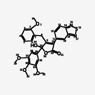 COc1ccccc1CC1=C(c2ccc3nsnc3c2)C(=O)OC1(O)c1cc(OC)c(OC)c(OC)c1